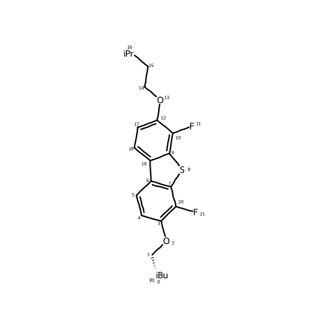 CC[C@@H](C)COc1ccc2c(sc3c(F)c(OCCC(C)C)ccc32)c1F